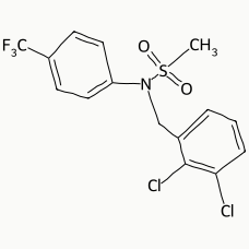 CS(=O)(=O)N(Cc1cccc(Cl)c1Cl)c1ccc(C(F)(F)F)cc1